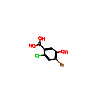 OB(O)c1cc(O)c(Br)cc1Cl